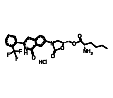 CCCC[C@H](N)C(=O)OC[C@H]1CN(c2ccc3cc(-c4ccccc4C(F)(F)F)[nH]c(=O)c3c2)C(=O)O1.Cl